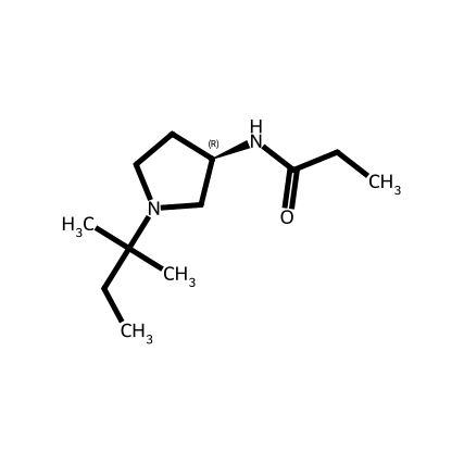 CCC(=O)N[C@@H]1CCN(C(C)(C)CC)C1